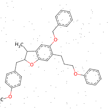 COc1ccc(CC2Oc3cc(CCCOc4ccccc4)c(OCc4ccccc4)cc3C2C)cc1